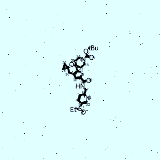 CC[S+]([O-])c1ccc(CNC(=O)c2cc3c(s2)C2(CCN(C(=O)OC(C)(C)C)CC2)OC2(CC2)C3)nc1